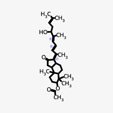 CC(=O)OC1CCC2(C)C3CC(=O)\C(=C(C)/C=C/C=C(\C)C(O)CC=C(C)C)C3CCC2C1(C)C